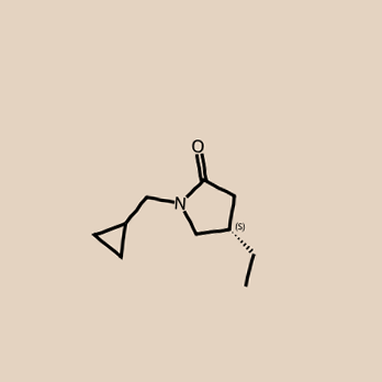 CC[C@H]1CC(=O)N(CC2CC2)C1